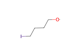 [O]CCCCI